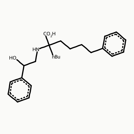 CCCCC(CCCCc1ccccc1)(NCC(O)c1ccccc1)C(=O)O